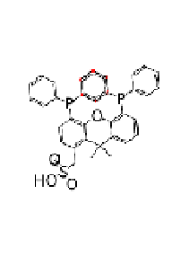 CC1(C)c2cccc(P(c3ccccc3)c3ccccc3)c2Oc2c(P(c3ccccc3)c3ccccc3)ccc(CS(=O)(=O)O)c21